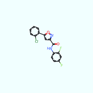 O=C(Nc1ccc(F)cc1F)c1cc(-c2ccccc2Cl)on1